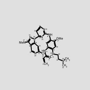 C=CC(=O)Nc1cc(Nc2nccc(-n3nc(NC)c4cnc(C)cc43)n2)c(OC)cc1N(C)CCN(C)C